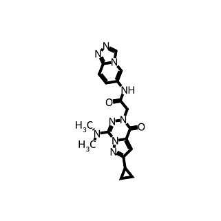 CN(C)c1nn(CC(=O)Nc2ccc3nncn3c2)c(=O)c2cc(C3CC3)nn12